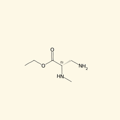 CCOC(=O)[C@H](CN)NC